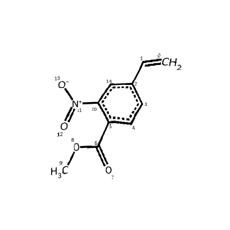 C=Cc1ccc(C(=O)OC)c([N+](=O)[O-])c1